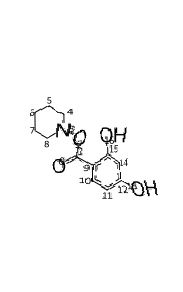 O=C(ON1CCCCC1)c1ccc(O)cc1O